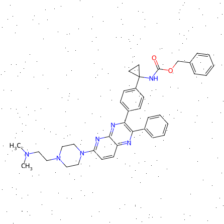 CN(C)CCN1CCN(c2ccc3nc(-c4ccccc4)c(-c4ccc(C5(NC(=O)OCc6ccccc6)CC5)cc4)nc3n2)CC1